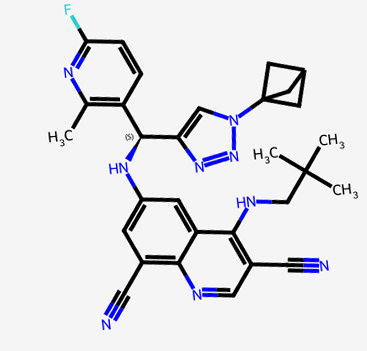 Cc1nc(F)ccc1[C@H](Nc1cc(C#N)c2ncc(C#N)c(NCC(C)(C)C)c2c1)c1cn(C23CC(C2)C3)nn1